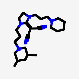 CC1CC(C)CN(CCCN2CCN(CCCN3CCCCC3)C2=C(C#N)C#N)C1